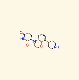 O=C1CC[C@@H](N2CCOc3c(C4CCNCC4)cccc32)C(=O)N1